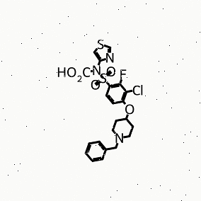 O=C(O)N(c1cscn1)S(=O)(=O)c1ccc(OC2CCN(Cc3ccccc3)CC2)c(Cl)c1F